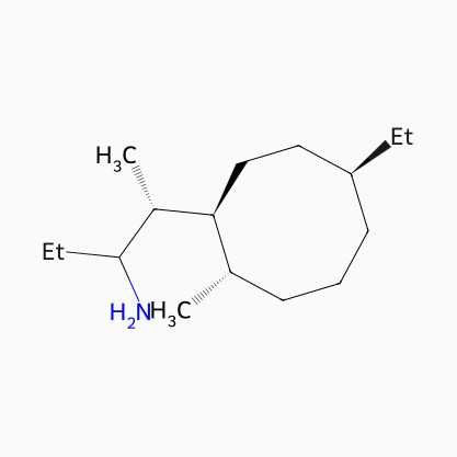 CCC(N)[C@H](C)[C@H]1CC[C@@H](CC)CCC[C@@H]1C